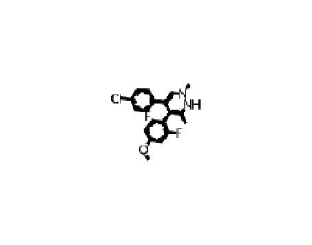 COc1cc(F)c(C2=C(C)NN(C)C=C2c2ccc(Cl)cc2)c(F)c1